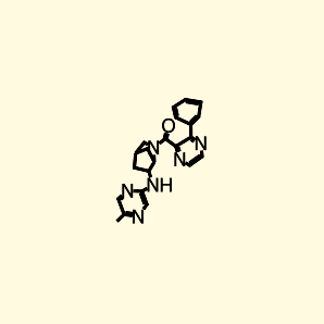 Cc1cnc(NC2CC3CC2N(C(=O)c2nccnc2-c2ccccc2)C3)cn1